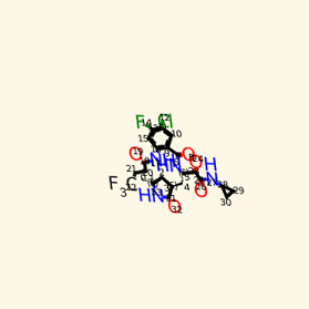 C[C@@H]1C[C@@H](C[C@H](NC(=O)c2cc(Cl)c(F)cc2NC(=O)CCC(F)(F)F)C(=O)C(=O)NC2CC2)C(=O)N1